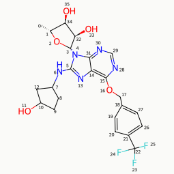 C[C@H]1O[C@@H](n2c(NC3CCC(O)C3)nc3c(OCc4ccc(C(F)(F)F)cc4)ncnc32)[C@H](O)[C@@H]1O